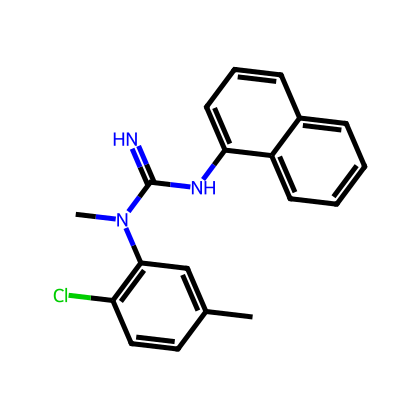 Cc1ccc(Cl)c(N(C)C(=N)Nc2cccc3ccccc23)c1